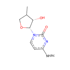 CC(=O)Nc1ccn([C@@H]2OCC(C)[C@@H]2O)c(=O)n1